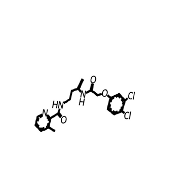 C=C(CCNC(=O)c1ncccc1C)NC(=O)COc1ccc(Cl)c(Cl)c1